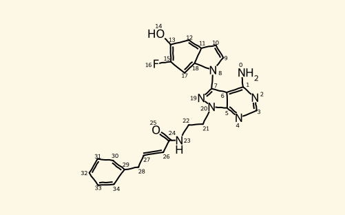 Nc1ncnc2c1c(-n1ccc3cc(O)c(F)cc31)nn2CCNC(=O)C=CCc1ccccc1